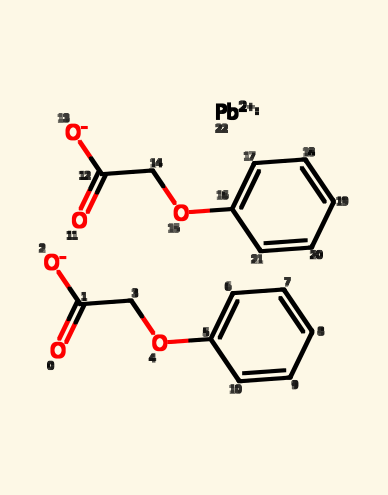 O=C([O-])COc1ccccc1.O=C([O-])COc1ccccc1.[Pb+2]